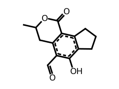 CC1Cc2c(C=O)c(O)c3c(c2C(=O)O1)CCC3